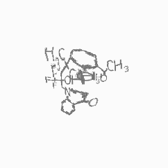 CC(=O)c1cccc(C(C)(C)CC(O)(Cn2ccc(=O)c3ccccc32)C(F)(F)F)c1O